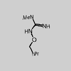 CCCCONC(=N)NC